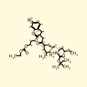 CCOC(=O)OCCOC(=O)C(CC(=O)C(CC(C)C)SSC[C@H](CCSC)NC(=O)OC(C)(C)C)Cc1ccc(Br)cc1